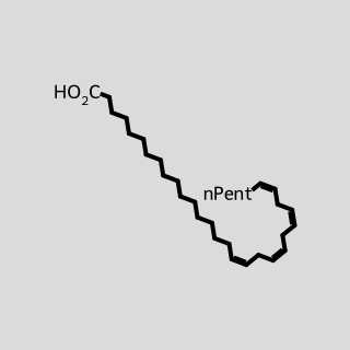 CCCCC/C=C\C/C=C\C/C=C\C/C=C\CCCCCCCCCCCCCCCC(=O)O